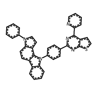 c1ccc(-n2ccc3c2ccc2c4ccccc4n(-c4ccc(-c5nc(-c6ccccn6)c6ccsc6n5)cc4)c23)cc1